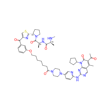 CN[C@@H](C)C(=O)N[C@@H](C)C(=O)N1CCC[C@H]1c1nc(C(=O)c2cccc(OCCCCCCC(=O)N3CCN(c4ccc(Nc5ncc6c(C)c(C(C)=O)c(=O)n(C7CCCC7)c6n5)nc4)CC3)c2)cs1